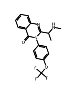 CNC(C)c1nc2ccccc2c(=O)n1-c1ccc(OC(F)(F)F)cc1